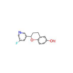 Oc1ccc2c(c1)CCC(c1cncc(F)c1)O2